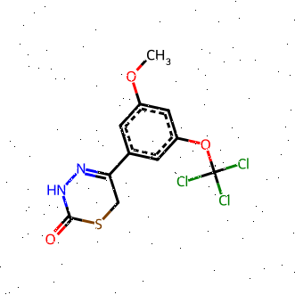 COc1cc(OC(Cl)(Cl)Cl)cc(C2=NNC(=O)SC2)c1